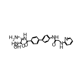 NC[C@H](NC(=O)c1ccc(-c2ccc(NC(=O)CNc3ccccn3)cc2)cc1)C(=O)NO